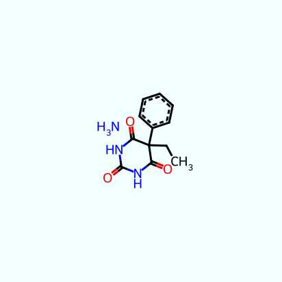 CCC1(c2ccccc2)C(=O)NC(=O)NC1=O.N